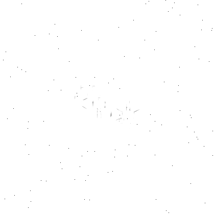 C=C(Nc1ccc(F)c(C(F)F)c1F)c1cccc(NC(=C)C2CC2(C)Cl)c1